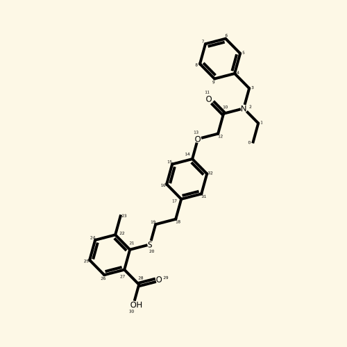 CCN(Cc1ccccc1)C(=O)COc1ccc(CCSc2c(C)cccc2C(=O)O)cc1